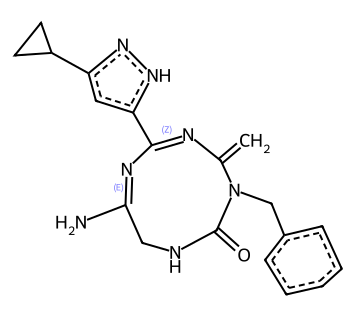 C=C1/N=C(c2cc(C3CC3)n[nH]2)\N=C(\N)CNC(=O)N1Cc1ccccc1